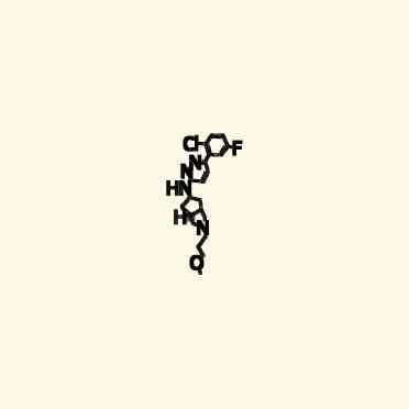 COCCCN1CC2CC(Nc3ccc(-c4cc(F)ccc4Cl)nn3)C[C@@H]2C1